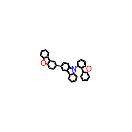 c1ccc2c(c1)oc1ccc(-c3ccc4c(c3)c3ccccc3n4-c3cccc4oc5ccccc5c34)cc12